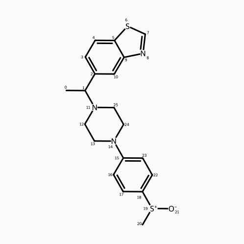 CC(c1ccc2scnc2c1)N1CCN(c2ccc([S+](C)[O-])cc2)CC1